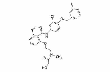 CN(CCOc1cccc2ncnc(Nc3ccc(OCc4cccc(F)c4)c(Cl)c3)c12)C(=O)CO